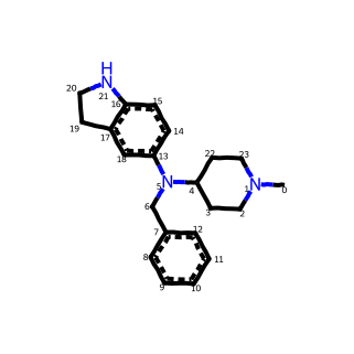 CN1CCC(N(Cc2ccccc2)c2ccc3c(c2)CCN3)CC1